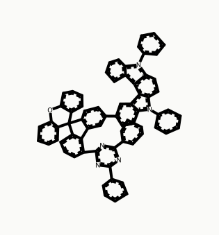 c1ccc(-c2nc(-c3ccccc3)nc(-c3cccc4c3-c3cc(-c5ccc6c(c5)c5c7c8ccccc8n(-c8ccccc8)c7ccc5n6-c5ccccc5)ccc3C43c4ccccc4Oc4ccccc43)n2)cc1